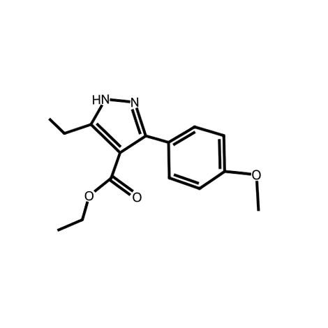 CCOC(=O)c1c(-c2ccc(OC)cc2)n[nH]c1CC